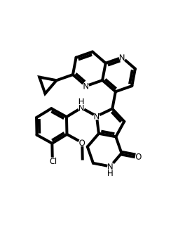 COc1c(Cl)cccc1Nn1c(-c2ccnc3ccc(C4CC4)nc23)cc2c1CCNC2=O